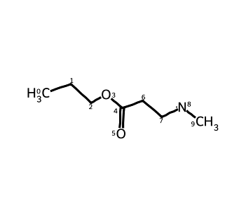 CCCOC(=O)CC[N]C